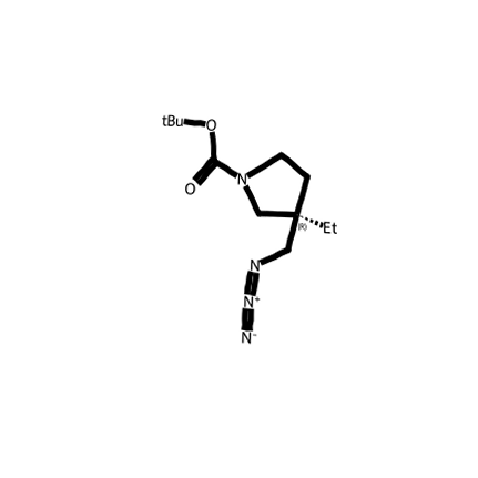 CC[C@@]1(CN=[N+]=[N-])CCN(C(=O)OC(C)(C)C)C1